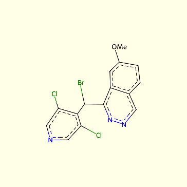 COc1ccc2cnnc(C(Br)c3c(Cl)cncc3Cl)c2c1